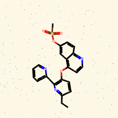 CCc1ccc(Oc2ccnc3ccc(OS(C)(=O)=O)cc23)c(-c2ccccn2)n1